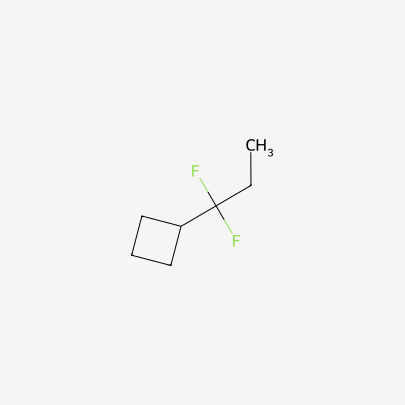 CCC(F)(F)C1CCC1